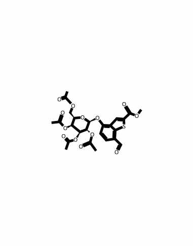 COC(=O)c1cc2c(O[C@@H]3O[C@H](COC(C)=O)[C@H](OC(C)=O)[C@H](OC(C)=O)[C@H]3OC(C)=O)ccc(C=O)c2s1